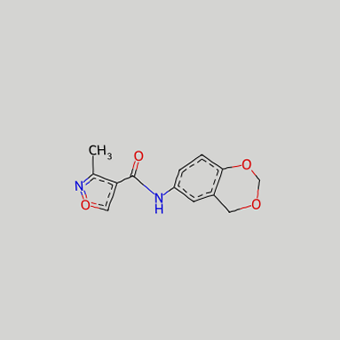 Cc1nocc1C(=O)Nc1ccc2c(c1)COCO2